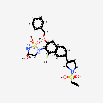 C=CS(=O)(=O)N1CC=C(c2ccc3cc(OCc4ccccc4)c(N4CC(=O)NS4(=O)=O)c(F)c3c2)C1